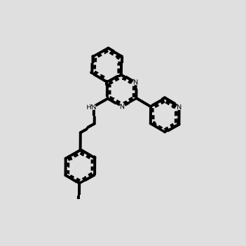 Cc1ccc(CCNc2nc(-c3cccnc3)nc3ccccc23)cc1